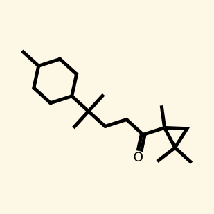 CC1CCC(C(C)(C)CCC(=O)C2(C)CC2(C)C)CC1